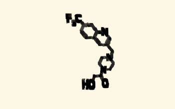 O=C(CO)N1CCN(Cc2cnc3cc(C(F)(F)F)ccc3c2)CC1